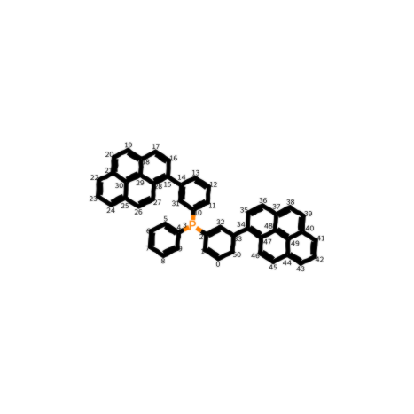 C1=CC(P(c2ccccc2)c2cccc(-c3ccc4ccc5cccc6ccc3c4c56)c2)=CC(c2ccc3ccc4cccc5ccc2c3c45)C1